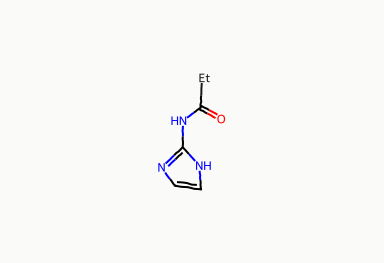 CCC(=O)Nc1ncc[nH]1